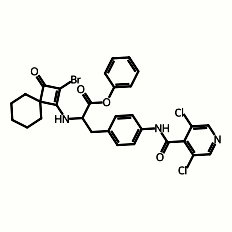 O=C(Nc1ccc(CC(NC2=C(Br)C(=O)C23CCCCC3)C(=O)Oc2ccccc2)cc1)c1c(Cl)cncc1Cl